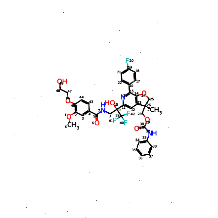 COc1cc(C(=O)NC[C@](O)(c2cc3c(c(-c4ccc(F)cc4)n2)OC[C@]3(C)COC(=O)Nc2ccccc2)C(F)(F)F)ccc1OCCO